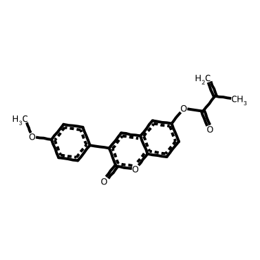 C=C(C)C(=O)Oc1ccc2oc(=O)c(-c3ccc(OC)cc3)cc2c1